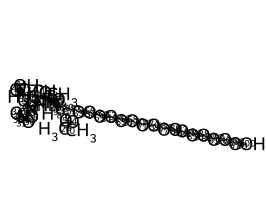 CC(C)C(=O)OCc1ccc(NC(=O)[C@H](C)NC(=O)[C@@H](NC(=O)CN2C(=O)[C@@H](N3C(=O)C=CC3=O)C[C@H]2COCCS(=O)(=O)O)C(C)C)cc1CCCOCCOCCOCCOCCOCCOCCOCCOCCOCCOCOCCOCCOCCOCCOCCOCCO